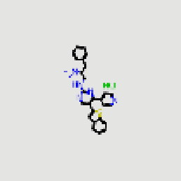 Cl.NC(CNc1ncc(-c2cc3ccccc3s2)c(-c2ccncc2)n1)Cc1ccccc1